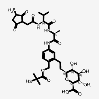 CC(C)[C@H](NC(=O)CC1C(=O)CC(P)C1=O)C(=O)N[C@@H](C)C(=O)Nc1ccc(COC(=O)C(C)(C)S)c(CC[C@@H]2O[C@H](C(=O)O)[C@@H](O)[C@H](O)[C@H]2O)c1